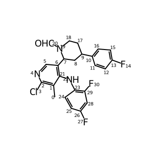 Cc1c(Cl)ncc(C2CC(c3ccc(F)cc3)CCN2C=O)c1Nc1ccc(F)cc1F